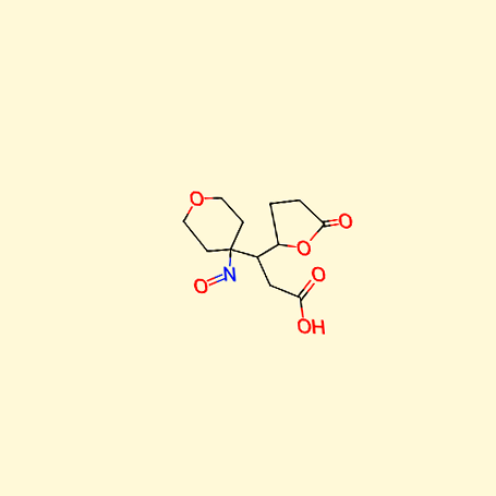 O=NC1(C(CC(=O)O)C2CCC(=O)O2)CCOCC1